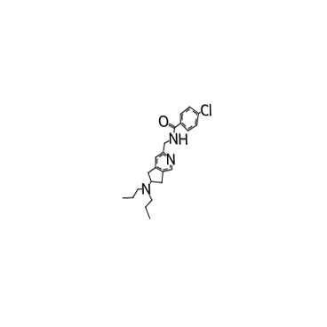 CCCN(CCC)C1Cc2cnc(CNC(=O)c3ccc(Cl)cc3)cc2C1